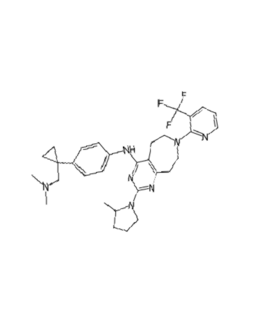 CC1CCCN1c1nc2c(c(Nc3ccc(C4(CN(C)C)CC4)cc3)n1)CCN(c1ncccc1C(F)(F)F)CC2